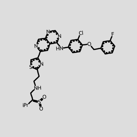 CC(C)C(CNCCc1nc(-c2cc3c(Nc4ccc(OCc5cccc(F)c5)c(Cl)c4)ncnc3cn2)cs1)=S(=O)=O